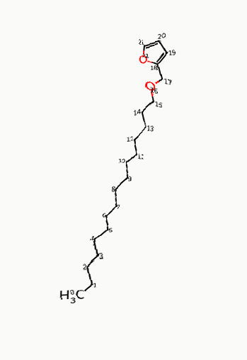 CCCCCCCCCCCCCCCCOCc1ccco1